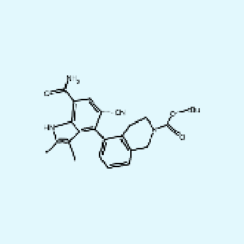 Cc1[nH]c2c(C(N)=O)cc(C#N)c(-c3cccc4c3CCN(C(=O)OC(C)(C)C)C4)c2c1C